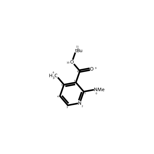 CNc1nccc(C)c1C(=O)OC(C)(C)C